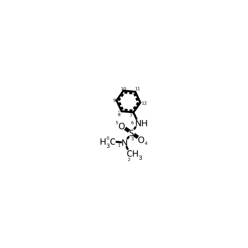 CN(C)S(=O)(=O)Nc1[c]cccc1